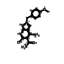 COc1ccc(Cn2cc3c(N)c(C(N)=O)c(Cl)nc3n2)cc1